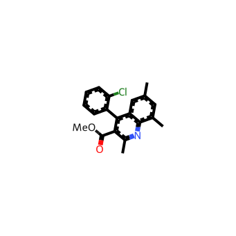 COC(=O)c1c(C)nc2c(C)cc(C)cc2c1-c1ccccc1Cl